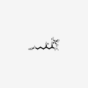 CCCCOCCCC(O)CC(C)O[Si](CC)(CC)CC